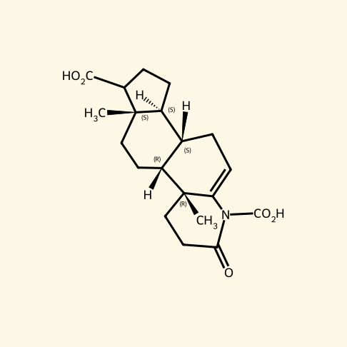 C[C@]12CCC(=O)N(C(=O)O)C1=CC[C@@H]1[C@H]2CC[C@]2(C)C(C(=O)O)CC[C@@H]12